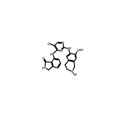 COc1cc2c(cc1Nc1ncc(Cl)c(Nc3cccc4c3C(=O)NC4)n1)CCN(C(C)C)C2